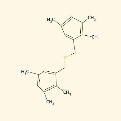 Cc1cc(C)c(C)c(CSCc2cc(C)cc(C)c2C)c1